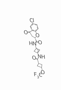 O=C1C[C@H](C(=O)NC23CC(NC(=O)C4CC(OC(F)(F)F)C4)(C2)C3)Oc2ccc(Cl)cc21